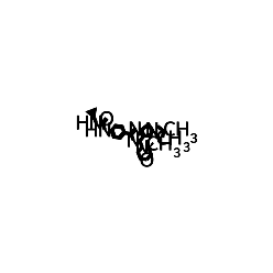 CC(C)CN1Cc2nc(-c3ccc(NC(=O)NC4CC4)cc3)nc(N3CCOC[C@@H]3C)c2C1